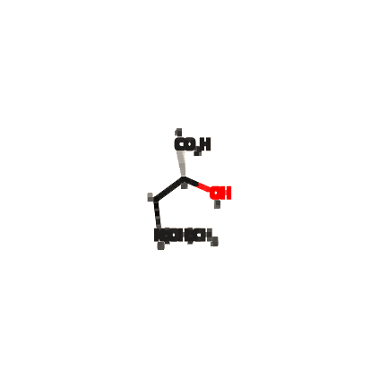 CN(O)C[C@@H](O)C(=O)O